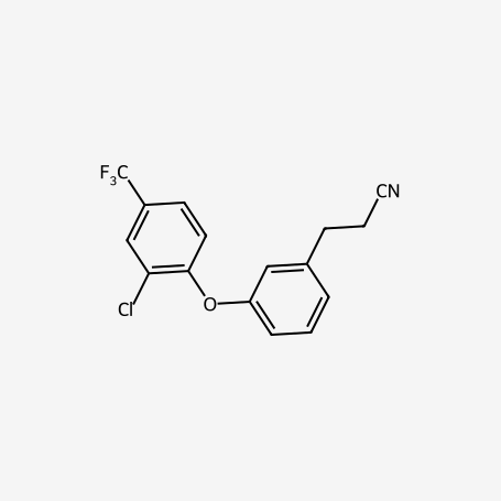 N#CCCc1cccc(Oc2ccc(C(F)(F)F)cc2Cl)c1